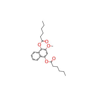 CCCCCC(=O)Oc1cc(OC)c(OC(=O)CCCCC)c2ccccc12